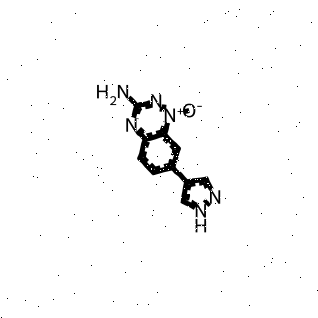 Nc1nc2ccc(-c3cn[nH]c3)cc2[n+]([O-])n1